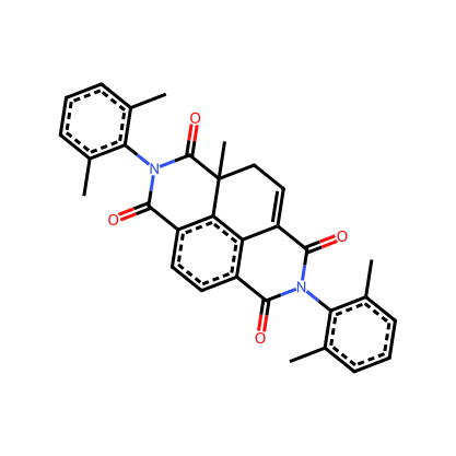 Cc1cccc(C)c1N1C(=O)C2=CCC3(C)C(=O)N(c4c(C)cccc4C)C(=O)c4ccc(c2c43)C1=O